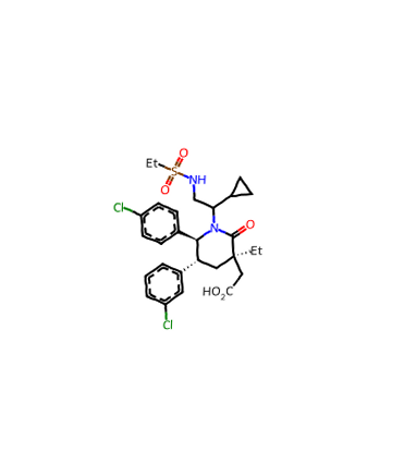 CC[C@]1(CC(=O)O)C[C@H](c2cccc(Cl)c2)[C@@H](c2ccc(Cl)cc2)N(C(CNS(=O)(=O)CC)C2CC2)C1=O